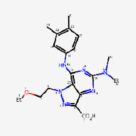 CCOCCn1nc(C(=O)O)c2nc(N(C)CC)nc(Nc3ccc(C)c(C)c3)c21